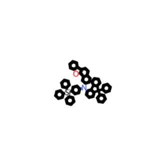 c1ccc(C2(c3ccccc3)c3ccccc3-c3c(N(c4ccc([Si](c5ccccc5)(c5ccccc5)c5ccccc5)cc4)c4ccc5ccc6c7ccccc7oc6c5c4)cccc32)cc1